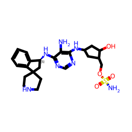 Nc1c(NC2CC(O)C(COS(N)(=O)=O)C2)ncnc1N[C@H]1CC2(CCNCC2)c2ccccc21